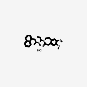 CCC(N1CCc2cc(OC)c(OC)cc2CC1=O)N(C)C(C)Cc1cccc2ccccc12.Cl